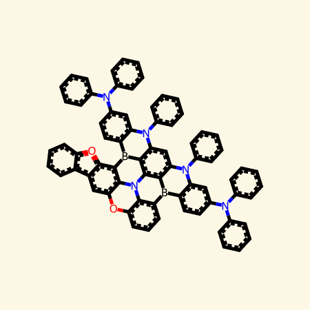 c1ccc(N(c2ccccc2)c2ccc3c(c2)N(c2ccccc2)c2cc4c5c6c2B3c2cccc3c2N6c2c(cc6c(oc7ccccc76)c2B5c2ccc(N(c5ccccc5)c5ccccc5)cc2N4c2ccccc2)O3)cc1